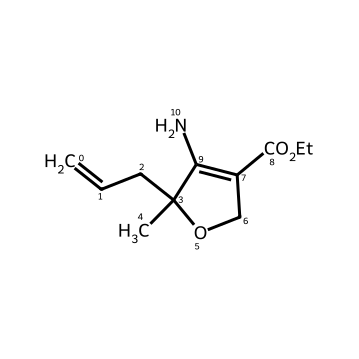 C=CCC1(C)OCC(C(=O)OCC)=C1N